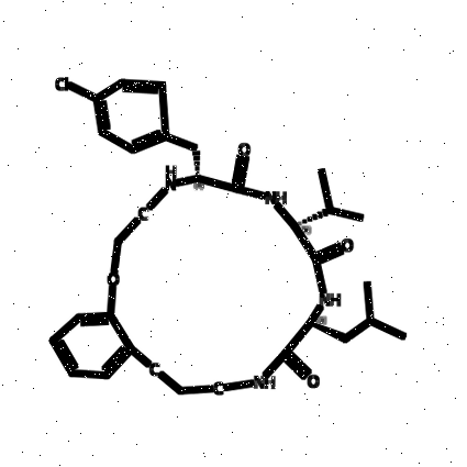 CC(C)C[C@@H]1NC(=O)[C@@H](C(C)C)NC(=O)[C@@H](Cc2ccc(Cl)cc2)NCCOc2ccccc2CCCNC1=O